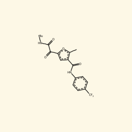 Cc1oc(C(=O)C(=O)NC(C)(C)C)cc1C(=O)Nc1ccc(C(F)(F)F)cc1